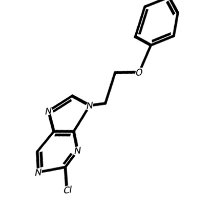 Clc1ncc2ncn(CCOc3ccccc3)c2n1